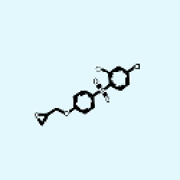 O=S(=O)(c1ccc(OCC2CO2)cc1)c1ccc(Cl)cc1Cl